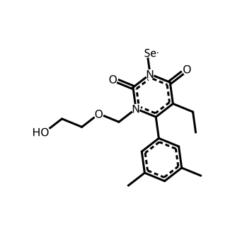 CCc1c(-c2cc(C)cc(C)c2)n(COCCO)c(=O)n([Se])c1=O